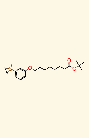 CC(C)(C)OC(=O)CCCCCCCOc1cccc(S2(C)CC2)c1